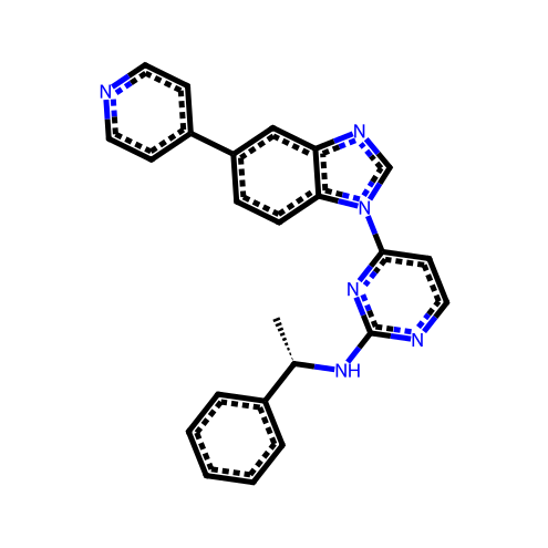 C[C@H](Nc1nccc(-n2cnc3cc(-c4ccncc4)ccc32)n1)c1ccccc1